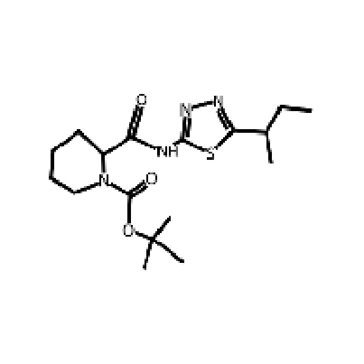 CCC(C)c1nnc(NC(=O)C2CCCCN2C(=O)OC(C)(C)C)s1